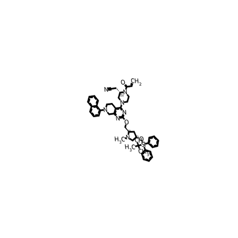 C=CC(=O)N1CCN(c2nc(OC[C@H]3C[C@H](O[Si](c4ccccc4)(c4ccccc4)C(C)(C)C)CN3C)nc3c2CCN(c2cccc4ccccc24)C3)C[C@@H]1CC#N